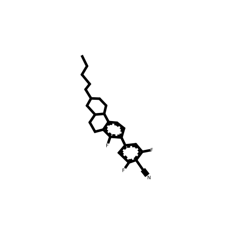 CCCCCC1CCC2c3ccc(-c4cc(F)c(C#N)c(F)c4)c(F)c3CCC2C1